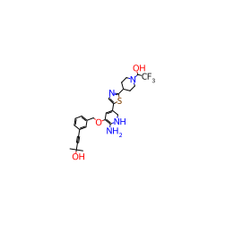 CC(C)(O)C#Cc1cccc(COC2=C(N)NCC(c3cnc(C4CCN(C(O)C(F)(F)F)CC4)s3)=C2)c1